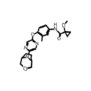 COC1(C(=O)Nc2ccc(Oc3cnc(N4C5CCC4COC5)cn3)c(C)c2)CC1